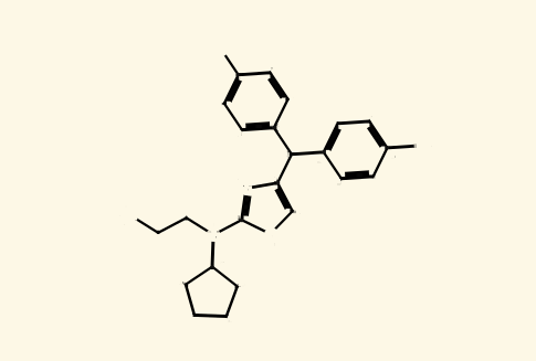 O=C(O)CCN(c1nc(C(c2ccc(F)cc2)c2ccc(F)cc2)cs1)C1CCCC1